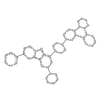 c1ccc(-c2ccc3oc4c(-c5ccc(-c6ccc7c(c6)c6ccccc6c6nccnc76)cc5)cc(-c5ccccc5)cc4c3c2)cc1